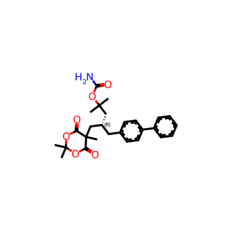 CC(C)(C[C@H](Cc1ccc(-c2ccccc2)cc1)CC1(C)C(=O)OC(C)(C)OC1=O)OC(N)=O